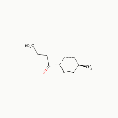 C[C@H]1CC[C@H](C(=O)CCC(=O)O)CC1